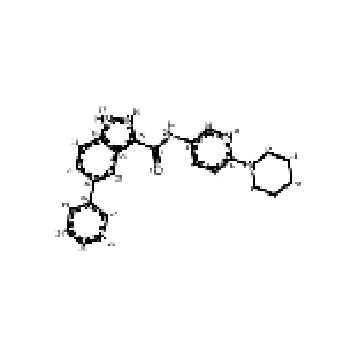 O=C(Nc1ccc(N2CCCCC2)nc1)c1n[nH]c2ccc(-c3cccnc3)cc12